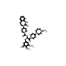 Cc1cc(C[C@@H](OC(=O)N2CCC(N3CCc4ccccc4NC3=O)CC2)C(=O)N2CCC(N3CCCN(C)CC3)CC2)cc(Cl)c1N